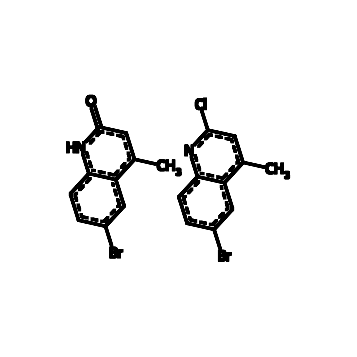 Cc1cc(=O)[nH]c2ccc(Br)cc12.Cc1cc(Cl)nc2ccc(Br)cc12